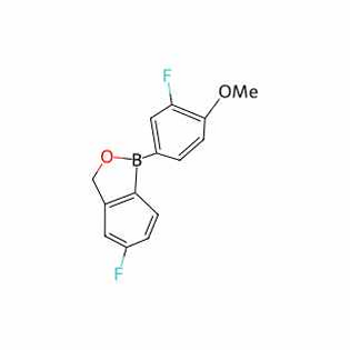 COc1ccc(B2OCc3cc(F)ccc32)cc1F